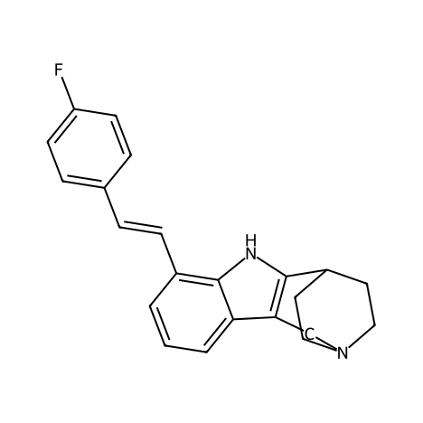 Fc1ccc(C=Cc2cccc3c4c([nH]c23)C2CCN(CC2)C4)cc1